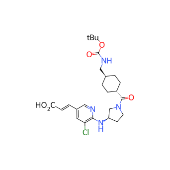 CC(C)(C)OC(=O)NC[C@H]1CC[C@H](C(=O)N2CC[C@@H](Nc3ncc(/C=C/C(=O)O)cc3Cl)C2)CC1